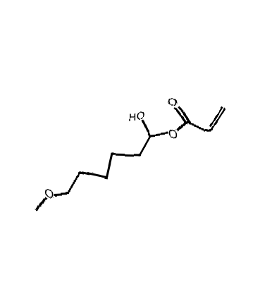 C=CC(=O)OC(O)CCCCCOC